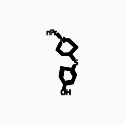 CCCN1CCC(Sc2ccc(O)cc2)CC1